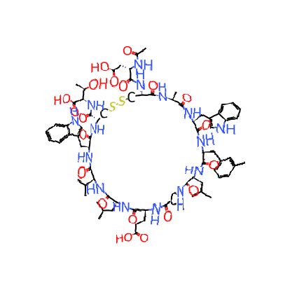 CC(=O)N[C@@H](CC(=O)O)C(=O)N[C@H]1CSSC[C@@H](C(=O)N[C@H](C(=O)O)[C@@H](C)O)NC(=O)[C@H](Cc2c[nH]c3ccccc23)NC(=O)[C@H](C(C)C)NC(=O)[C@H](CC(C)C)NC(=O)[C@H](CCC(=O)O)NC(=O)CNC(=O)[C@H](CC(C)C)NC(=O)[C@H](Cc2cccc(C)c2)NC(=O)[C@H](Cc2c[nH]c3ccccc23)NC(=O)[C@H](C)NC1=O